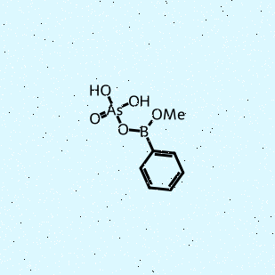 COB(O[As](=O)(O)O)c1ccccc1